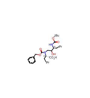 CC(C)C[C@H](NC(=O)OC(C)(C)C)C(O)CN(C(=O)OCc1ccccc1)[C@@H](CC(C)C)C(=O)O